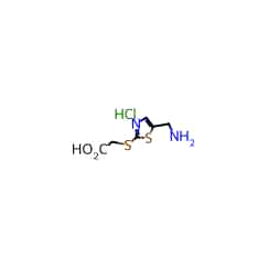 Cl.NCc1cnc(SCC(=O)O)s1